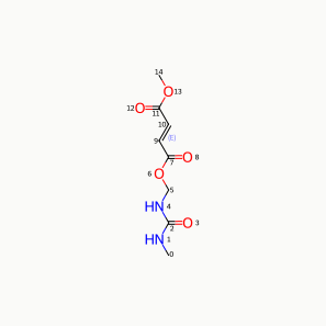 CNC(=O)NCOC(=O)/C=C/C(=O)OC